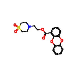 O=C(OCCN1CCS(=O)(=O)CC1)c1cccc2c1Oc1ccccc1O2